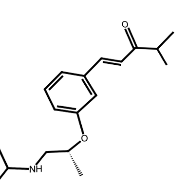 CC(C)NC[C@@H](C)Oc1cccc(/C=C/C(=O)C(C)C)c1